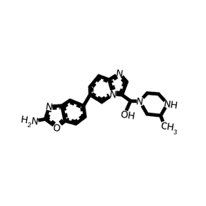 CC1CN(C(O)c2cnc3ccc(-c4ccc5oc(N)nc5c4)cn23)CCN1